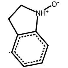 [O-][NH+]1CCc2[c]cccc21